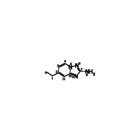 CCc1ccn2nc(N)nc2c1